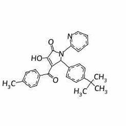 Cc1ccc(C(=O)C2=C(O)C(=O)N(c3ccccn3)C2c2ccc(C(C)(C)C)cc2)cc1